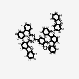 N#Cc1cc(-c2nc(-c3ccccc3-c3ccccc3)nc(-c3cccc4c3oc3ccccc34)n2)ccc1-n1c2ccccc2c2ccc3c(c4ccccc4n3-c3ccc4sc5ccccc5c4c3)c21